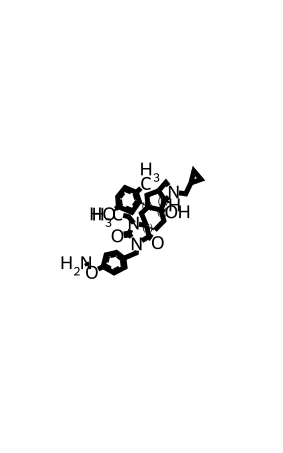 CCN1C(=O)N(Cc2ccc(ON)cc2)C(=O)[C@@]12CC[C@@]1(O)[C@H]3C(CN3CC3CC3)C[C@]1(c1cc(O)ccc1C)C2